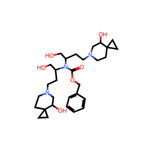 O=C(OCc1ccccc1)N(C(CO)CCN1CCC2(CC2)C(O)C1)C(CO)CCN1CCC2(CC2)C(O)C1